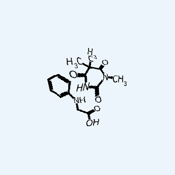 CN1C(=O)NC(=O)C(C)(C)C1=O.O=C(O)CNc1ccccc1